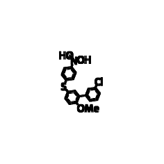 COc1ccc(Sc2ccc(N(O)O)cc2)cc1-c1cccc(Cl)c1